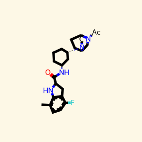 CC(=O)N1CC2CCC1CN2[C@H]1CCC[C@@H](NC(=O)C2Cc3c(F)ccc(C)c3N2)C1